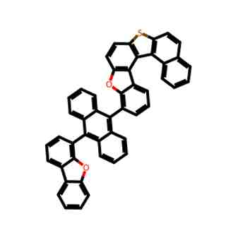 c1ccc2c(c1)ccc1sc3ccc4oc5c(-c6c7ccccc7c(-c7cccc8c7oc7ccccc78)c7ccccc67)cccc5c4c3c12